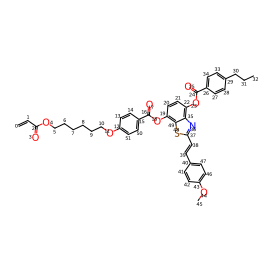 C=CC(=O)OCCCCCCOc1ccc(C(=O)Oc2ccc(OC(=O)c3ccc(CCC)cc3)c3nc(/C=C/c4ccc(OC)cc4)sc23)cc1